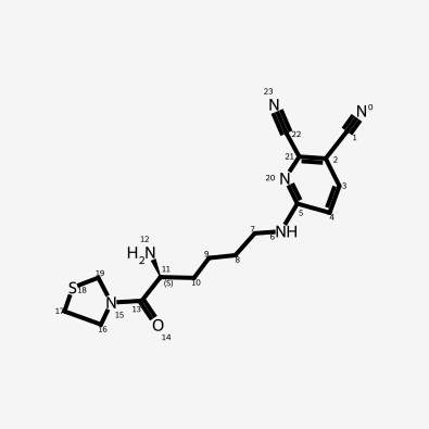 N#Cc1ccc(NCCCC[C@H](N)C(=O)N2CCSC2)nc1C#N